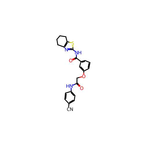 N#Cc1ccc(NC(=O)COc2cccc(C(=O)Nc3nc4c(s3)CCCC4)c2)cc1